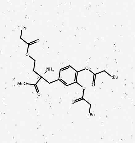 COC(=O)[C@@](N)(CCOC(=O)CC(C)C)Cc1ccc(OC(=O)CC(C)(C)C)c(OC(=O)CC(C)(C)C)c1